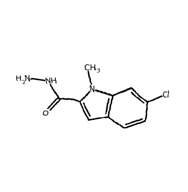 Cn1c(C(=O)NN)cc2ccc(Cl)cc21